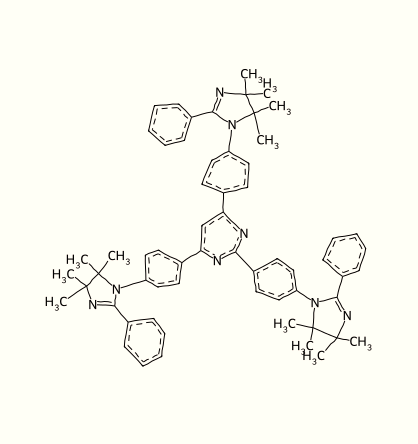 CC1(C)N=C(c2ccccc2)N(c2ccc(-c3cc(-c4ccc(N5C(c6ccccc6)=NC(C)(C)C5(C)C)cc4)nc(-c4ccc(N5C(c6ccccc6)=NC(C)(C)C5(C)C)cc4)n3)cc2)C1(C)C